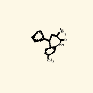 Cc1ccc2c(c1)NC(=O)C(N)CC2c1ccccc1